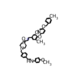 COc1ccc(NCCc2ccc(CN3CCN(C(=O)/C=C/c4cc(C)c(Oc5ccc(OCc6ccc(C)cc6)cn5)c(Cl)c4)CC3)cc2)cc1